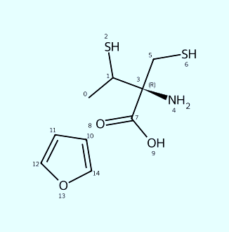 CC(S)[C@](N)(CS)C(=O)O.c1ccoc1